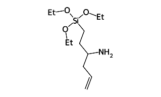 C=CCC(N)CC[Si](OCC)(OCC)OCC